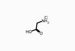 NCC(=O)O.[C]